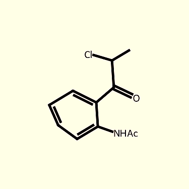 CC(=O)Nc1ccccc1C(=O)C(C)Cl